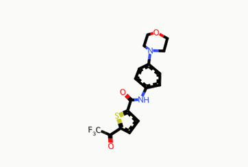 O=C(Nc1ccc(N2CCOCC2)cc1)c1ccc(C(=O)C(F)(F)F)s1